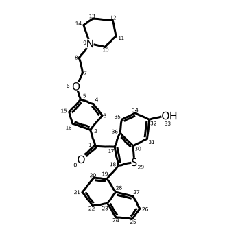 O=C(c1ccc(OCCN2CCCCC2)cc1)c1c(-c2cccc3ccccc23)sc2cc(O)ccc12